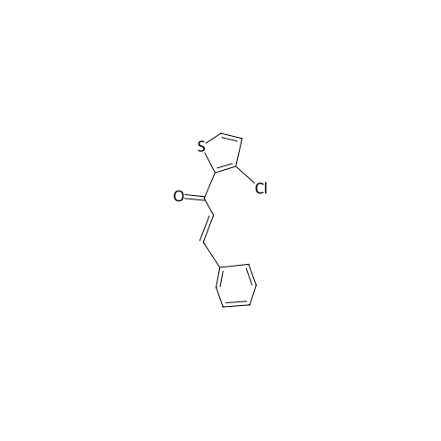 O=C(C=Cc1ccccc1)c1sccc1Cl